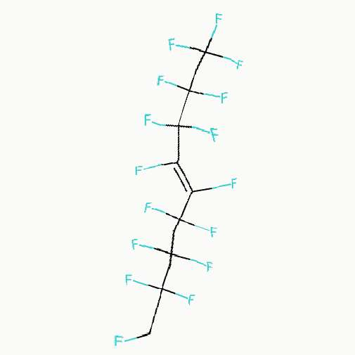 FCC(F)(F)C(F)(F)C(F)(F)C(F)=C(F)C(F)(F)C(F)(F)C(F)(F)F